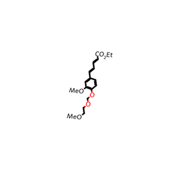 CCOC(=O)C=CC=Cc1ccc(OCOCCOC)c(OC)c1